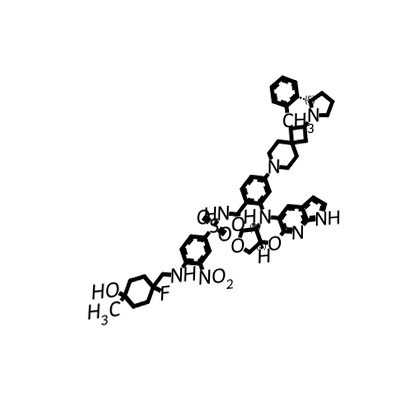 Cc1ccccc1[C@@H]1CCCN1C1CC2(CCN(c3ccc(C(=O)NS(=O)(=O)c4ccc(NCC5(F)CCC(C)(O)CC5)c([N+](=O)[O-])c4)c(N4c5cc6cc[nH]c6nc5O[C@@H]5COC[C@H]54)c3)CC2)C1